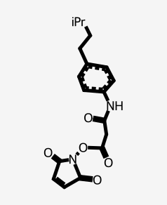 CC(C)CCc1ccc(NC(=O)CC(=O)ON2C(=O)C=CC2=O)cc1